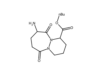 CCCCOC(=O)C1CCCN2C(=O)CCC(N)C(=O)N12